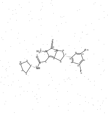 Cn1c(CC(=O)N[C@@H]2CCOC2)c2n(c1=S)C[C@H](c1cc(F)cc(F)c1)C2